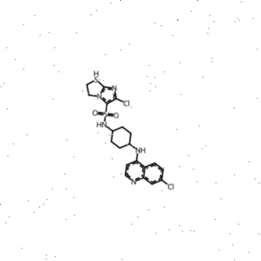 O=S(=O)(NC1CCC(Nc2ccnc3cc(Cl)ccc23)CC1)c1c(Cl)nc2n1CC[SH]2